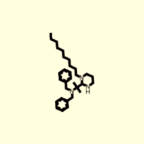 CCCCCCCCCCN1CCCNC1C(C)(C)N(Cc1ccccc1)Cc1ccccc1